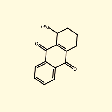 CCCCC1CCCC2=C1C(=O)c1ccccc1C2=O